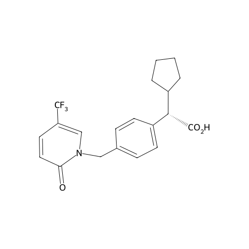 O=C(O)[C@H](c1ccc(Cn2cc(C(F)(F)F)ccc2=O)cc1)C1CCCC1